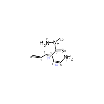 C=C/C=C(\C=C/N)C(=S)N(C)N